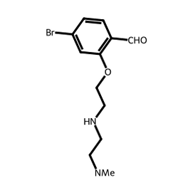 CNCCNCCOc1cc(Br)ccc1C=O